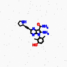 Cc1ccc(O)c(C)c1-n1c(N)c(C(N)=O)c2nc(C#CC3CCCN3)cnc21